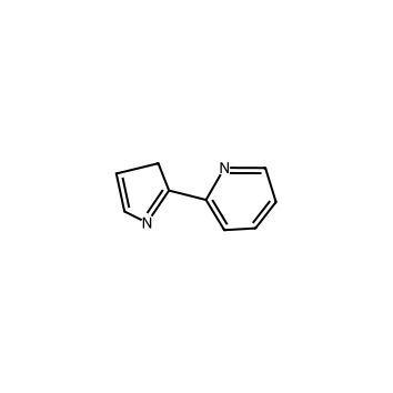 C1=CN=C(c2ccccn2)C1